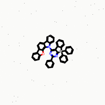 c1ccc(-c2nc(-n3c4ccccc4c4ccc5c6ccccc6oc5c43)c3c(n2)[Si](c2ccccc2)(c2ccccc2)c2ccccc2-3)cc1